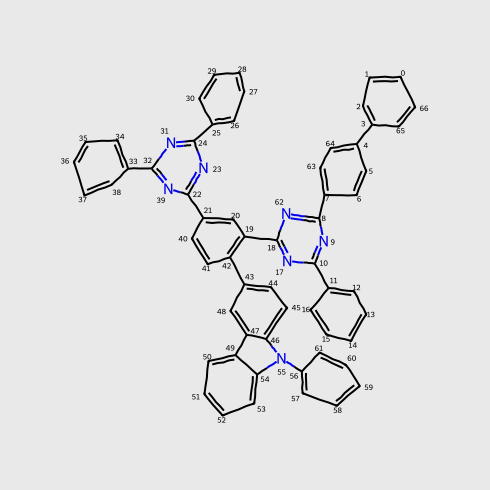 c1ccc(-c2ccc(-c3nc(-c4ccccc4)nc(-c4cc(-c5nc(-c6ccccc6)nc(-c6ccccc6)n5)ccc4-c4ccc5c(c4)c4ccccc4n5-c4ccccc4)n3)cc2)cc1